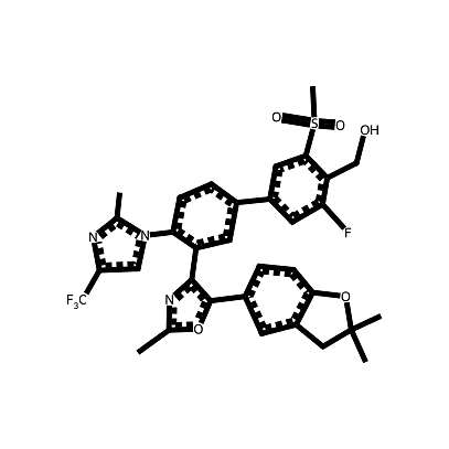 Cc1nc(-c2cc(-c3cc(F)c(CO)c(S(C)(=O)=O)c3)ccc2-n2cc(C(F)(F)F)nc2C)c(-c2ccc3c(c2)CC(C)(C)O3)o1